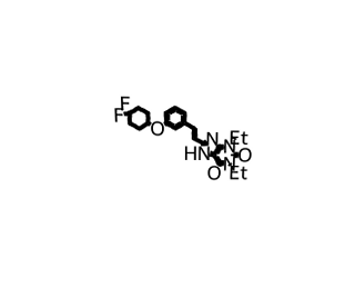 CCn1c(=O)c2[nH]c(/C=C/c3cccc(OC4CCC(F)(F)CC4)c3)nc2n(CC)c1=O